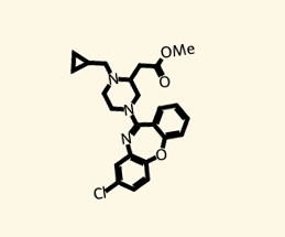 COC(=O)CC1CN(C2=Nc3cc(Cl)ccc3Oc3ccccc32)CCN1CC1CC1